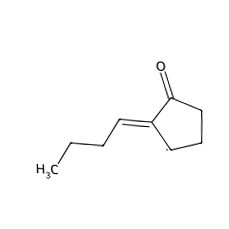 CCC/C=C1\[CH]CCC1=O